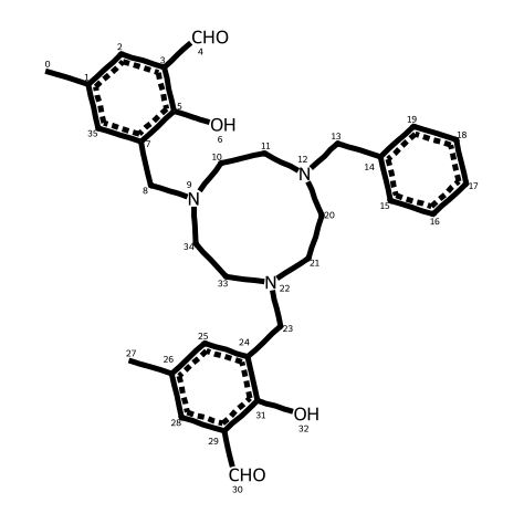 Cc1cc(C=O)c(O)c(CN2CCN(Cc3ccccc3)CCN(Cc3cc(C)cc(C=O)c3O)CC2)c1